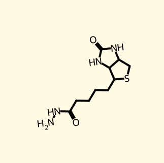 NNC(=O)CCCCC1SCC2NC(=O)NC21